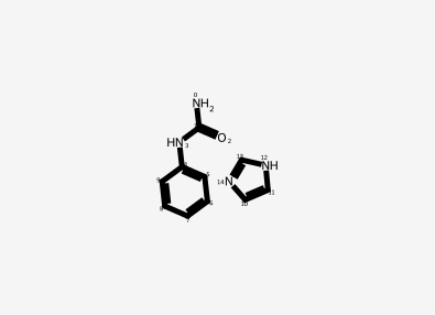 NC(=O)Nc1ccccc1.c1c[nH]cn1